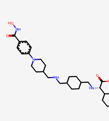 COC(=O)[C@@H](NCC1CCC(CNCC2CCN(c3ccc(C(=O)NO)cc3)CC2)CC1)C1CCCCC1